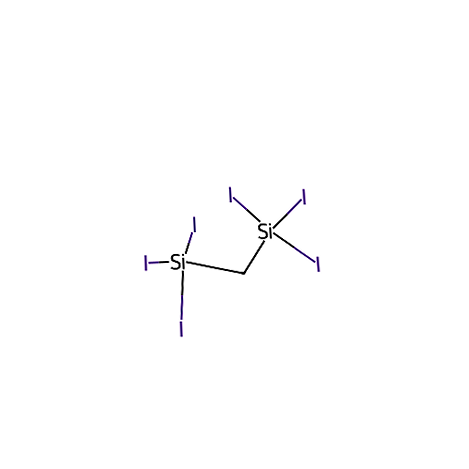 I[Si](I)(I)C[Si](I)(I)I